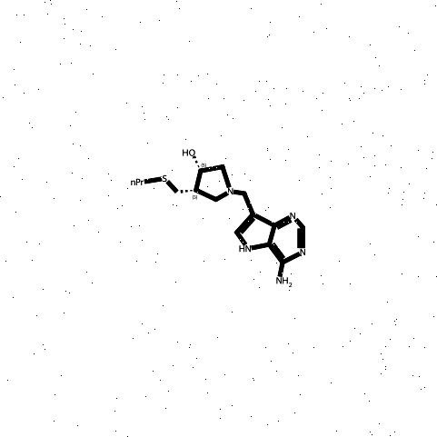 CCCSC[C@H]1CN(Cc2c[nH]c3c(N)ncnc23)C[C@H]1O